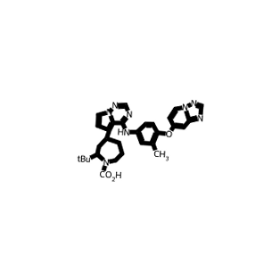 Cc1cc(Nc2ncnn3ccc(C4CCCN(C(=O)O)C(C(C)(C)C)C4)c23)ccc1Oc1ccn2ncnc2c1